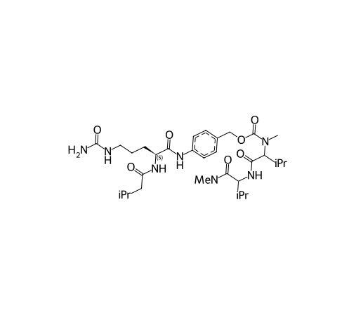 CNC(=O)C(NC(=O)C(C(C)C)N(C)C(=O)OCc1ccc(NC(=O)[C@H](CCCNC(N)=O)NC(=O)CC(C)C)cc1)C(C)C